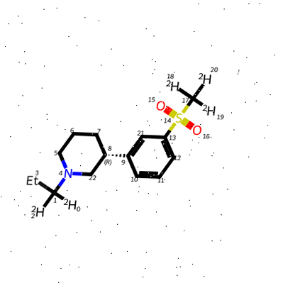 [2H]C([2H])(CC)N1CCC[C@H](c2cccc(S(=O)(=O)C([2H])([2H])[2H])c2)C1